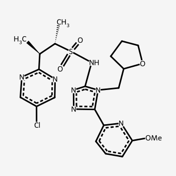 COc1cccc(-c2nnc(NS(=O)(=O)[C@@H](C)[C@H](C)c3ncc(Cl)cn3)n2CC2CCCO2)n1